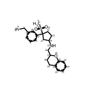 CC(C)Cc1cccc(C2(S(C)(=O)=O)CCC(NCC3CCc4ccccc4O3)C2)c1